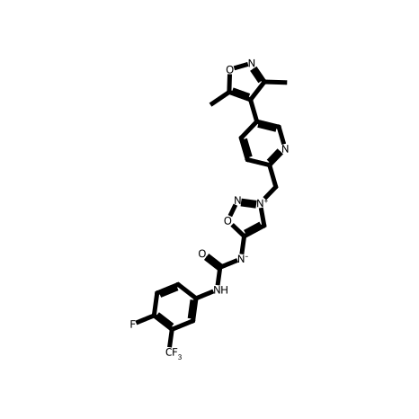 Cc1noc(C)c1-c1ccc(C[n+]2cc([N-]C(=O)Nc3ccc(F)c(C(F)(F)F)c3)on2)nc1